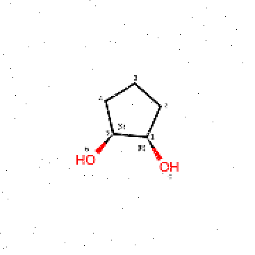 O[C@@H]1CCC[C@@H]1O